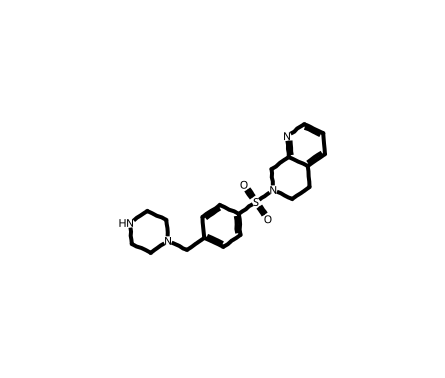 O=S(=O)(c1ccc(CN2CCNCC2)cc1)N1CCc2cccnc2C1